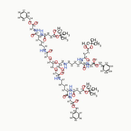 CC(C)(C)OC(=O)CCC(=O)NC(CCCCNCC(C=O)OC(COCC(=O)NCCCCC(NC(=O)CCC(=O)OC(C)(C)C)C(=O)NCC(=O)OCc1ccccc1)COCC(=O)NCCCCC(NC(=O)CCC(=O)OC(C)(C)C)C(=O)NCC(=O)OCc1ccccc1)C(=O)NCC(=O)OCc1ccccc1